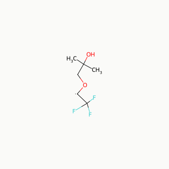 CC(C)(O)CO[CH]C(F)(F)F